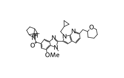 COc1cc(C(=O)N2CC3CCC2[C@@H]3C)cc2nc(-c3cc4ccc(CC5CCCCO5)nc4n3CC3CC3)n(C)c12